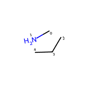 CN.[CH2]CC